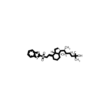 C[C@H](CCCC(C)(C)O)[C@H]1CC[C@H]2/C(=C/CS(=O)(=O)c3nc4ccccc4s3)CCC[C@]12C